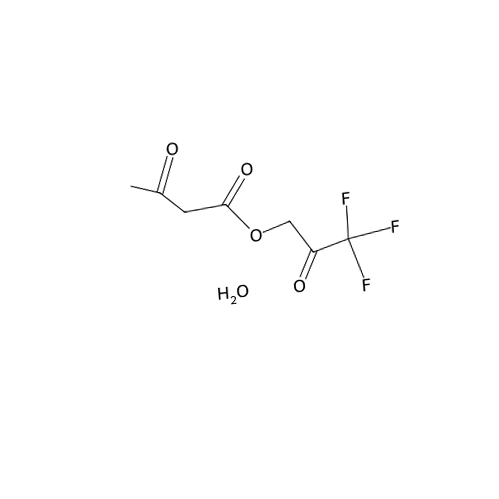 CC(=O)CC(=O)OCC(=O)C(F)(F)F.O